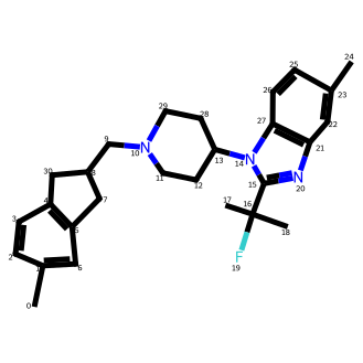 Cc1ccc2c(c1)CC(CN1CCC(n3c(C(C)(C)F)nc4cc(C)ccc43)CC1)C2